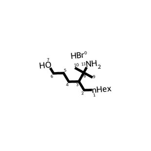 Br.CCCCCCCC(CCCO)C(C)(C)N